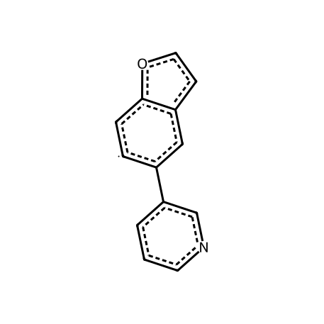 [c]1cc2occc2cc1-c1cccnc1